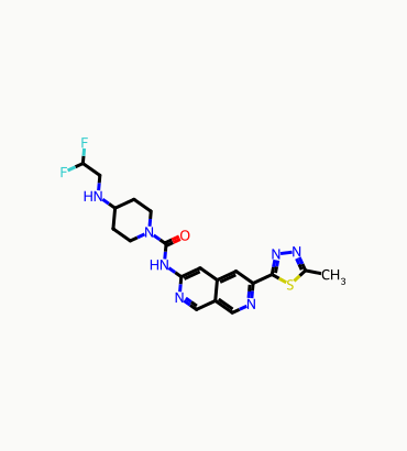 Cc1nnc(-c2cc3cc(NC(=O)N4CCC(NCC(F)F)CC4)ncc3cn2)s1